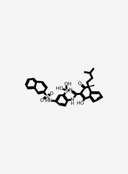 CC(C)CC[C@@]1(C)C(=O)C(C2=NS(O)(O)c3cc(NS(=O)(=O)c4ccc5ccccc5c4)ccc3N2)=C(O)c2ccccc21